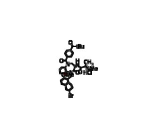 CN[C@@H](C)C(=O)N[C@H]1CN(C(=O)c2ccc(C(=O)C(C)(C)C)cc2)c2ccccc2N(Cc2c(OC)ccc3cc(Br)ccc23)C1=O.Cl